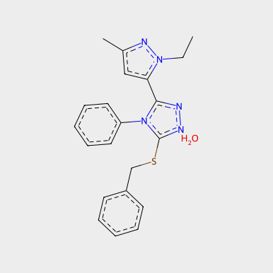 CCn1nc(C)cc1-c1nnc(SCc2ccccc2)n1-c1ccccc1.O